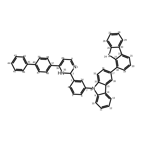 C1=NC(c2cccc(-n3c4ccccc4c4cc(-c5cccc6c5sc5ccccc56)ccc43)c2)NC(c2ccc(-c3ccccc3)cc2)=C1